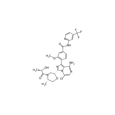 COc1cc(C(=O)Nc2cc(C(F)(F)F)ccn2)ccc1-c1nc([C@H]2CN(C(=O)[C@@H](C)O)[C@@H](C)CO2)n2c(Cl)cnc(N)c12